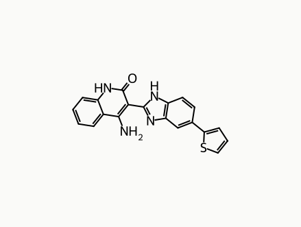 Nc1c(-c2nc3cc(-c4cccs4)ccc3[nH]2)c(=O)[nH]c2ccccc12